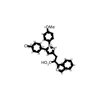 COc1ccc(-n2nc(CC(C(=O)O)c3occ4ccccc34)cc2-c2ccc(Cl)cc2)cc1